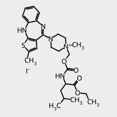 CCOC(=O)C(CC(C)C)NC(=O)OC[N+]1(C)CCN(C2=Nc3ccccc3Nc3sc(C)cc32)CC1.[I-]